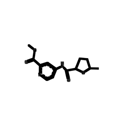 COC(=O)c1cc(NC(=O)C2CCC(C)O2)ccn1